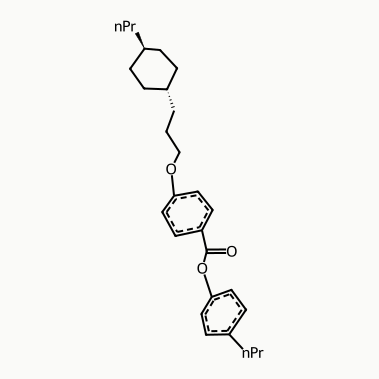 CCCc1ccc(OC(=O)c2ccc(OCCC[C@H]3CC[C@H](CCC)CC3)cc2)cc1